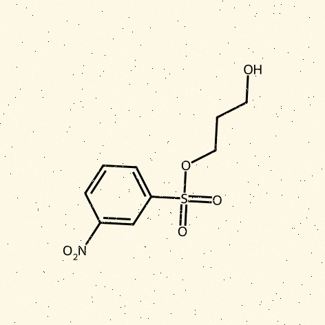 O=[N+]([O-])c1cccc(S(=O)(=O)OCCCO)c1